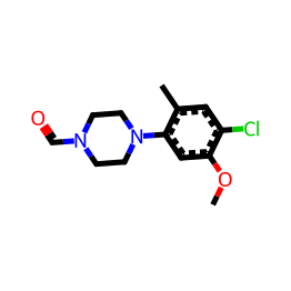 COc1cc(N2CCN(C=O)CC2)c(C)cc1Cl